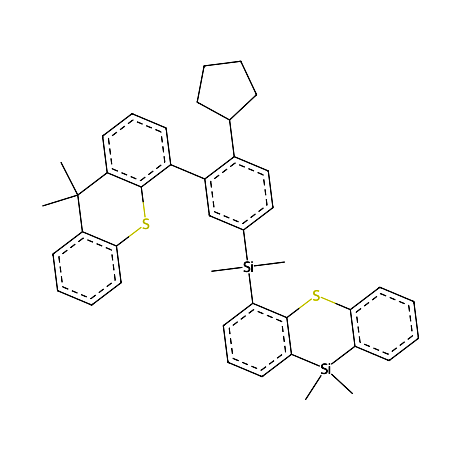 CC1(C)c2ccccc2Sc2c(-c3cc([Si](C)(C)c4cccc5c4Sc4ccccc4[Si]5(C)C)ccc3C3CCCC3)cccc21